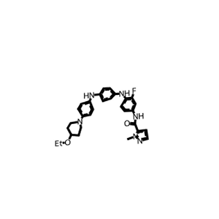 CCOC1CCN(c2ccc(Nc3ccc(Nc4ccc(NC(=O)c5ccnn5C)cc4F)cc3)cc2)CC1